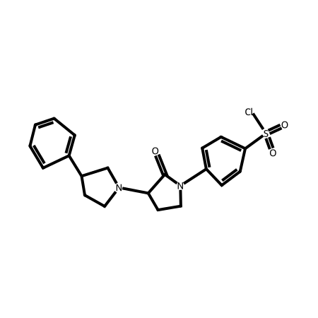 O=C1C(N2CCC(c3ccccc3)C2)CCN1c1ccc(S(=O)(=O)Cl)cc1